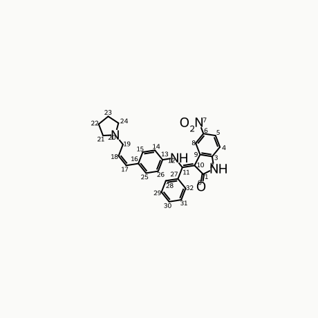 O=C1Nc2ccc([N+](=O)[O-])cc2C1=C(Nc1ccc(/C=C\CN2CCCC2)cc1)c1ccccc1